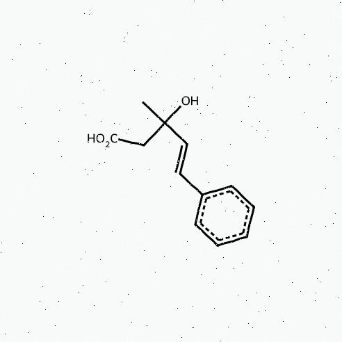 CC(O)(/C=C/c1ccccc1)CC(=O)O